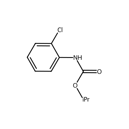 CC(C)OC(=O)Nc1ccccc1Cl